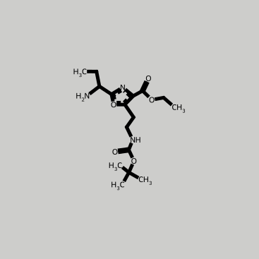 CCOC(=O)c1nc(C(N)CC)oc1CCNC(=O)OC(C)(C)C